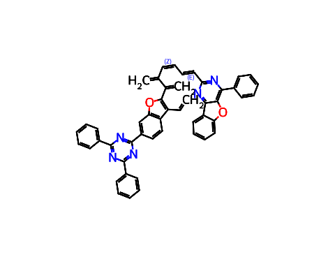 C=Cc1c(C(=C)C(=C)/C=C\C=C\c2nc(-c3ccccc3)c3oc4ccccc4c3n2)oc2cc(-c3nc(-c4ccccc4)nc(-c4ccccc4)n3)ccc12